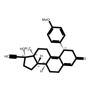 C#C[C@]1(O)CC[C@H]2[C@@H]3CCC4=CC(=O)C[C@@H](c5ccc(OC)cc5)C4=C3CC[C@@]21C